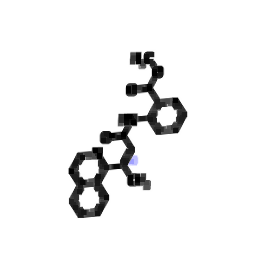 COC(=O)c1ccccc1NC(=O)/C=C(/C)c1nccc2ccccc12